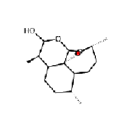 C[C@H]1C(O)OC2O[C@]3(C)CCC4[C@H](C)CCC1[C@@]24OO3